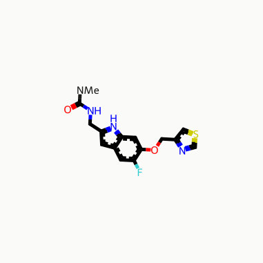 CNC(=O)NCc1cc2cc(F)c(OCc3cscn3)cc2[nH]1